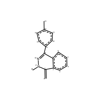 C=C1c2ccccc2C(c2ccc(C)cc2)=NN1C